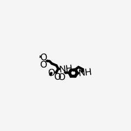 COC(=O)CCCC(NC(=O)c1ccc2c(c1)CCN2)C(=O)OC